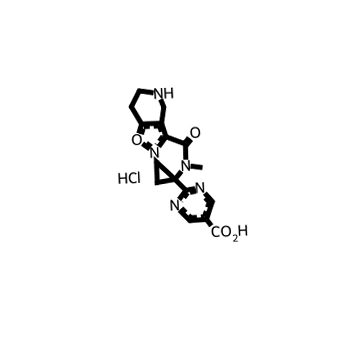 CN(C(=O)c1noc2c1CNCC2)C1(c2ncc(C(=O)O)cn2)CC1.Cl